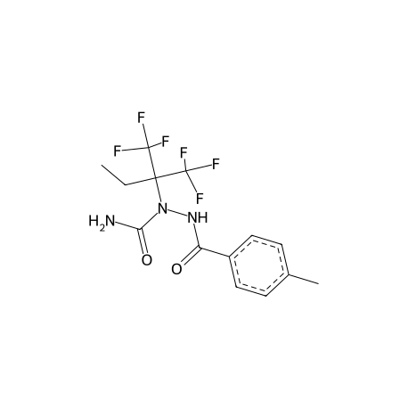 CCC(N(NC(=O)c1ccc(C)cc1)C(N)=O)(C(F)(F)F)C(F)(F)F